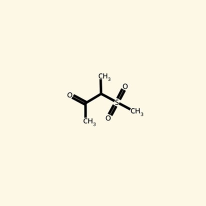 CC(=O)C(C)S(C)(=O)=O